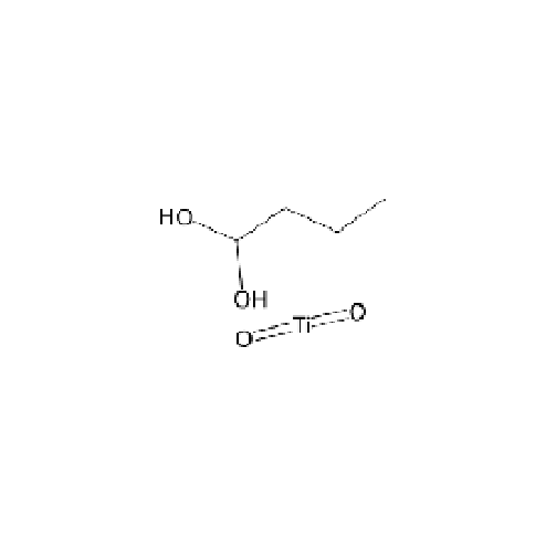 CCCC(O)O.[O]=[Ti]=[O]